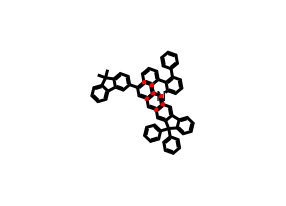 CC1(C)c2ccccc2-c2cc(-c3ccc(N(c4ccc5c(c4)-c4ccccc4C5(c4ccccc4)c4ccccc4)c4cccc(-c5ccccc5)c4-c4ccccc4-c4ccccc4)cc3)ccc21